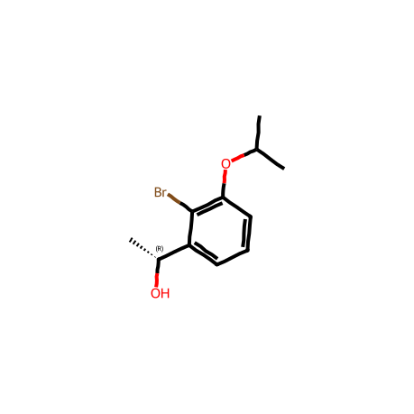 CC(C)Oc1cccc([C@@H](C)O)c1Br